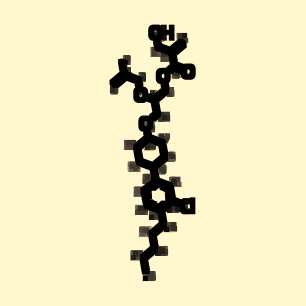 C=C(C)COC(COC(=O)C(=C)CO)COC1CCC(c2ccc(CCCCC)c(Cl)c2)CC1